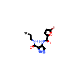 N#CCCNC(=O)c1n[nH]cc1NC(=O)c1ccc(Br)o1